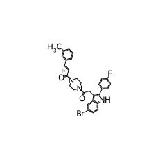 Cc1cccc(/C=C/C(=O)N2CCN(C(=O)Cc3c(-c4ccc(F)cc4)[nH]c4ccc(Br)cc34)CC2)c1